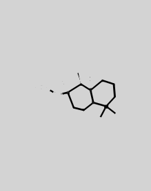 CCCO[C@]1(C)CCC2C(C)(C)CCC[C@]2(C)[C@@H]1C